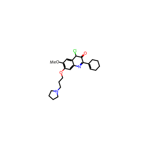 COc1cc2c(cc1OCCCN1CCCC1)N=C(C1=CCCCC1)C(=O)C2Cl